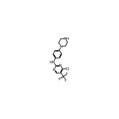 FC(F)(F)c1cnc(Nc2ccc(N3CCNCC3)cc2)nc1Cl